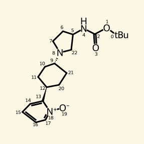 CC(C)(C)OC(=O)NC1CCN([C@H]2CC[C@H](c3cccc[n+]3[O-])CC2)C1